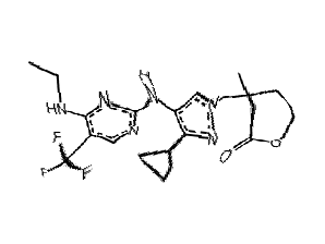 CCNc1nc(Nc2cn(C3(C)CCOC3=O)nc2C2CC2)ncc1C(F)(F)F